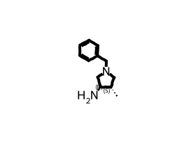 C[C@H]1CN(Cc2ccccc2)C[C@@H]1N